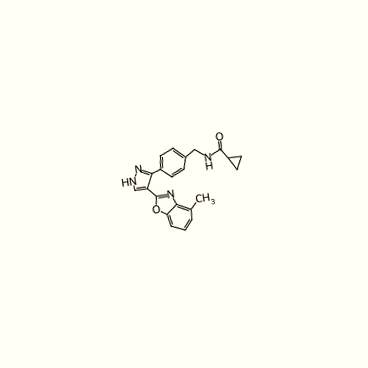 Cc1cccc2oc(-c3c[nH]nc3-c3ccc(CNC(=O)C4CC4)cc3)nc12